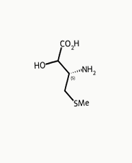 CSC[C@@H](N)C(O)C(=O)O